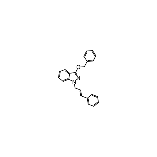 C(=Cc1ccccc1)Cn1nc(OCc2ccccc2)c2ccccc21